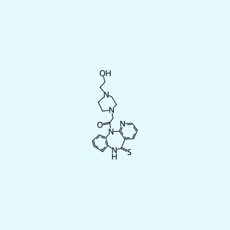 O=C(CN1CCN(CCO)CC1)N1c2ccccc2NC(=S)c2cccnc21